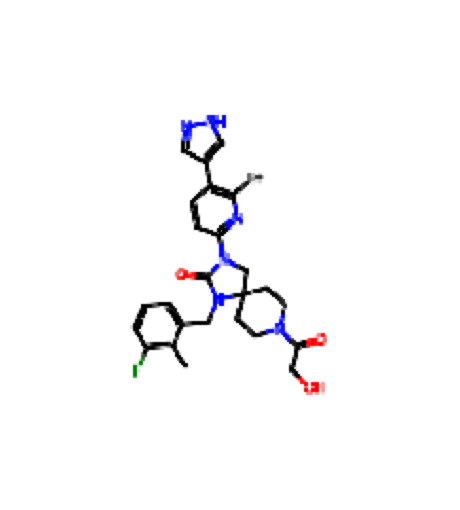 CCc1nc(N2CC3(CCN(C(=O)CO)CC3)N(Cc3cccc(F)c3C)C2=O)ccc1-c1cn[nH]c1